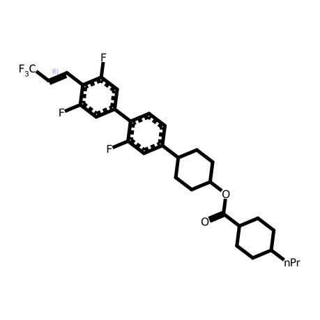 CCCC1CCC(C(=O)OC2CCC(c3ccc(-c4cc(F)c(/C=C/C(F)(F)F)c(F)c4)c(F)c3)CC2)CC1